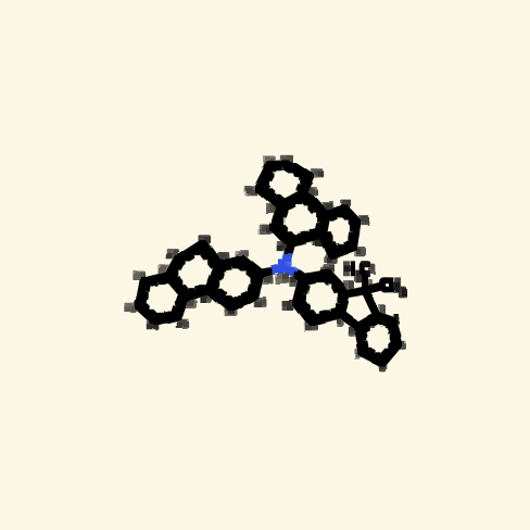 CC1(C)c2ccccc2-c2ccc(N(c3ccc4c(ccc5ccccc54)c3)c3cc4ccccc4c4ccccc34)cc21